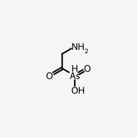 NCC(=O)[AsH](=O)O